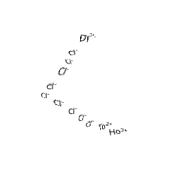 [Cl-].[Cl-].[Cl-].[Cl-].[Cl-].[Cl-].[Cl-].[Cl-].[Cl-].[Dy+3].[Ho+3].[Tb+3]